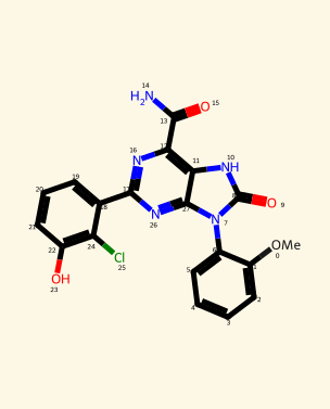 COc1ccccc1-n1c(=O)[nH]c2c(C(N)=O)nc(-c3cccc(O)c3Cl)nc21